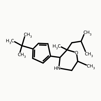 CC(C)CC1(C)OC(C)CNC1c1ccc(C(C)(C)C)cc1